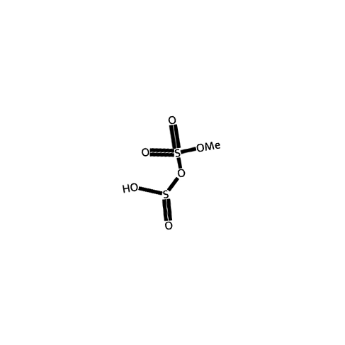 COS(=O)(=O)OS(=O)O